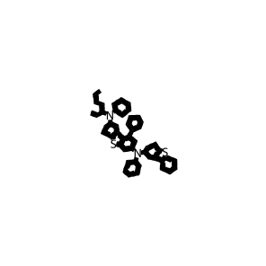 C=C/C(=C\C=C/C)N(c1ccccc1)c1ccc2sc3cc(N(c4ccccc4)c4ccc5sc6ccccc6c5c4)cc(-c4ccccc4)c3c2c1